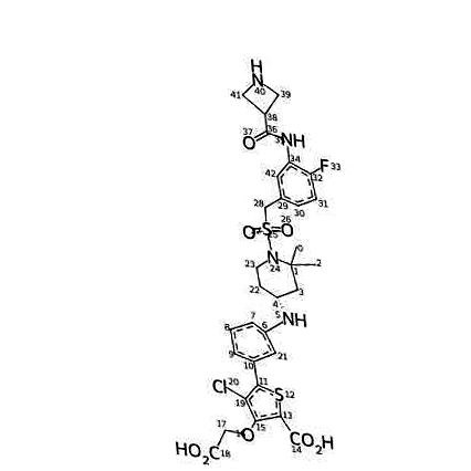 CC1(C)C[C@H](Nc2cccc(-c3sc(C(=O)O)c(OCC(=O)O)c3Cl)c2)CCN1S(=O)(=O)Cc1ccc(F)c(NC(=O)C2CNC2)c1